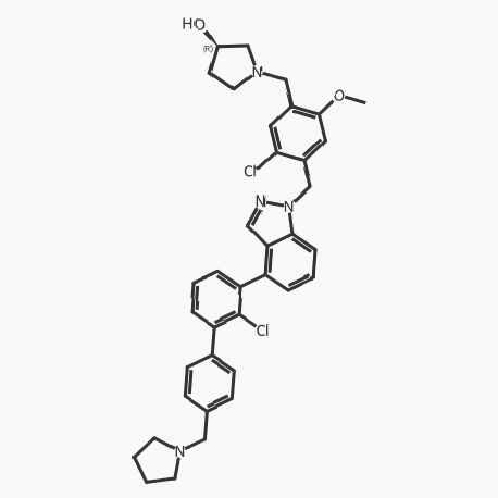 COc1cc(Cn2ncc3c(-c4cccc(-c5ccc(CN6CCCC6)cc5)c4Cl)cccc32)c(Cl)cc1CN1CC[C@@H](O)C1